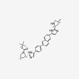 C[C@@H]1CN[C@H](c2ncc(-c3ccc4cc(-c5ccc(-c6cnc([C@@H]7C[C@H](C)CN7C(=O)OC(C)(C)C)[nH]6)cc5)ccc4c3)[nH]2)C1